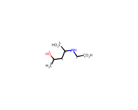 CC(O)CC(NCC(=O)O)C(=O)O